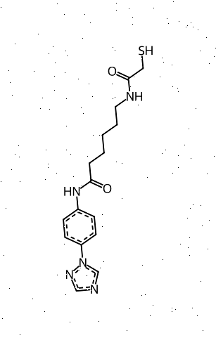 O=C(CS)NCCCCCC(=O)Nc1ccc(-n2cncn2)cc1